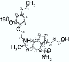 C=CCc1ccc(OCCN[C@H](C)Cc2cc(C(N)=O)c3c(ccn3CCCO)c2)c(OC(C)(C)C)c1